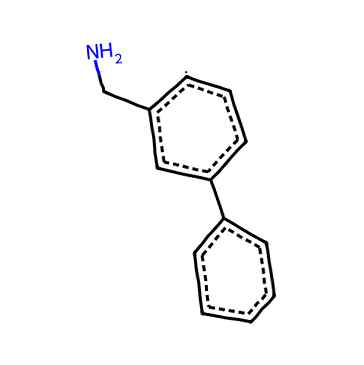 NCc1[c]ccc(-c2ccccc2)c1